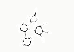 O=C1N[C@H](c2cncc(-c3cnccn3)c2)[C@@H](c2ccc(F)c(F)c2F)O1